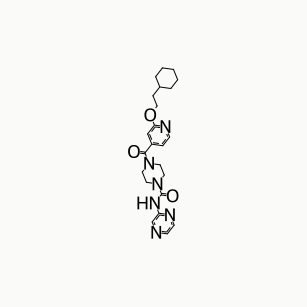 O=C(Nc1cnccn1)N1CCN(C(=O)c2ccnc(OCCC3CCCCC3)c2)CC1